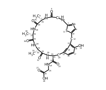 C[C@@H]1NC(=O)CNc2ncc(s2)Cc2cc(ccc2O)C[C@@H](C(=O)NCC(=O)O)NC(=O)[C@H](C)NC(=O)[C@H](C)NC1=O